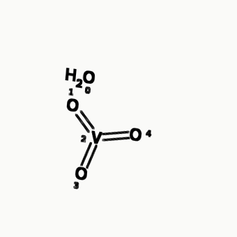 O.[O]=[V](=[O])=[O]